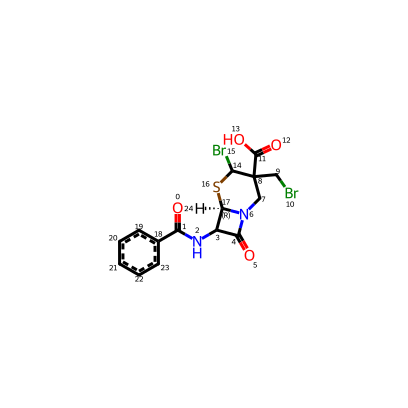 O=C(NC1C(=O)N2CC(CBr)(C(=O)O)C(Br)S[C@H]12)c1ccccc1